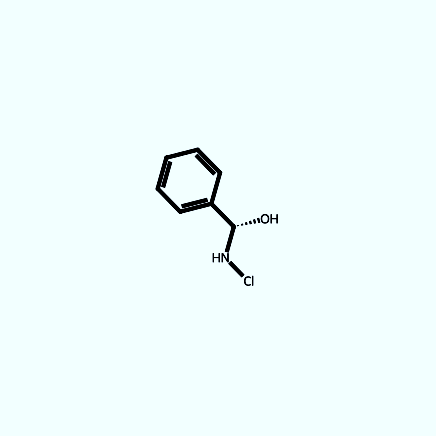 O[C@H](NCl)c1ccccc1